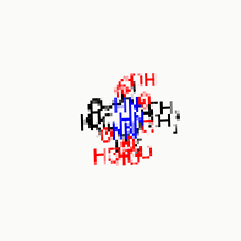 CC(=O)N[C@@H](CC(=O)O)C(=O)N[C@@H](CCC(=O)O)C(=O)N[C@H](C(=O)N[C@@H](CC(=O)O)C(=O)CCCc1cccc2ccccc12)C(C)C